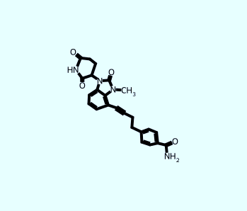 Cn1c(=O)n(C2CCC(=O)NC2=O)c2cccc(C#CCCc3ccc(C(N)=O)cc3)c21